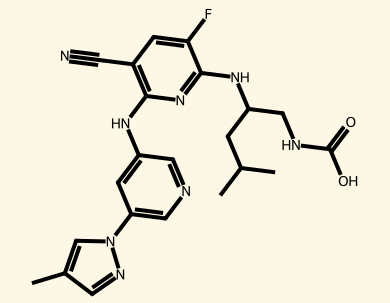 Cc1cnn(-c2cncc(Nc3nc(NC(CNC(=O)O)CC(C)C)c(F)cc3C#N)c2)c1